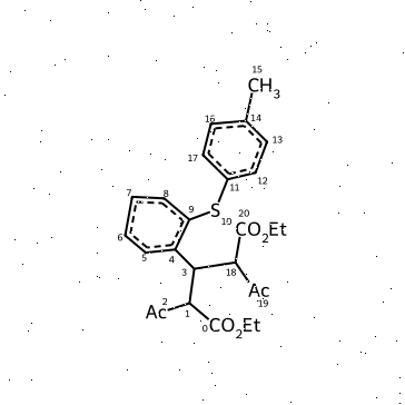 CCOC(=O)C(C(C)=O)C(c1ccccc1Sc1ccc(C)cc1)C(C(C)=O)C(=O)OCC